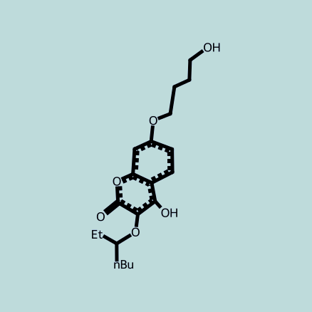 CCCCC(CC)Oc1c(O)c2ccc(OCCCCO)cc2oc1=O